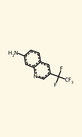 Nc1ccc2cc(C(F)(F)C(F)(F)F)cnc2c1